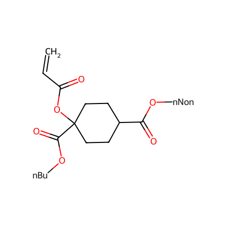 C=CC(=O)OC1(C(=O)OCCCC)CCC(C(=O)OCCCCCCCCC)CC1